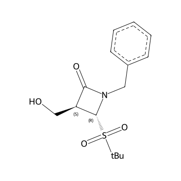 CC(C)(C)S(=O)(=O)[C@@H]1[C@@H](CO)C(=O)N1Cc1ccccc1